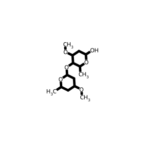 COC1CC(C)OC(OC2C(C)OC(O)CC2OC)C1